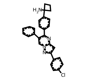 NC1(c2ccc(-c3nc4cc(-c5ccc(Cl)cc5)nn4cc3-c3ccccc3)cc2)CCC1